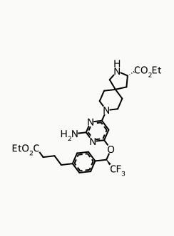 CCOC(=O)CCCc1ccc([C@@H](Oc2cc(N3CCC4(CC3)CN[C@H](C(=O)OCC)C4)nc(N)n2)C(F)(F)F)cc1